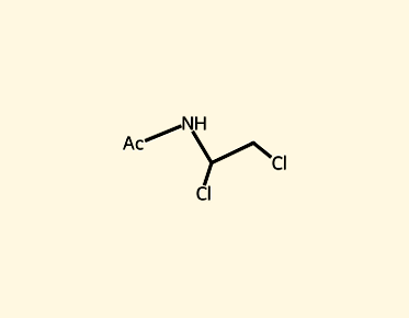 CC(=O)NC(Cl)CCl